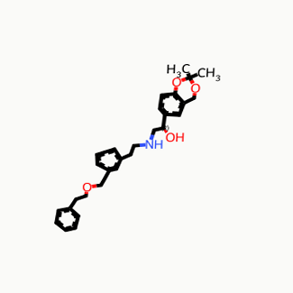 CC1(C)OCc2cc([C@@H](O)CNCCc3cccc(COCCc4ccccc4)c3)ccc2O1